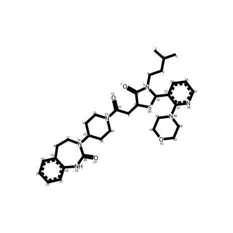 CC(C)CCN1C(=O)C(CC(=O)N2CCC(N3CCc4ccccc4NC3=O)CC2)SC1c1cccnc1N1CCOCC1